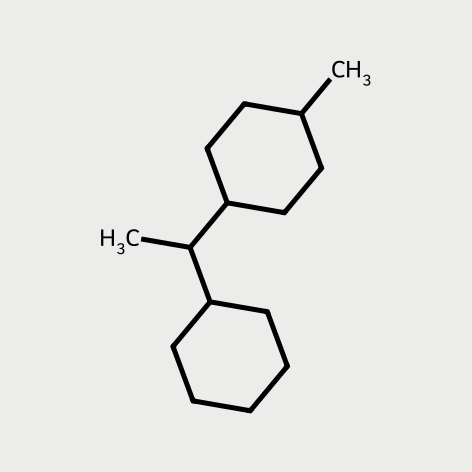 CC1CCC(C(C)C2CCCCC2)CC1